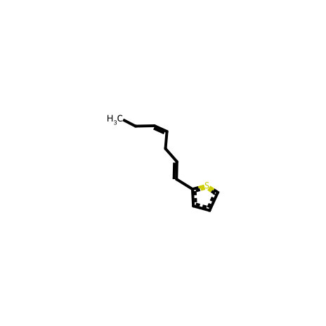 CC/C=C\C/C=C/c1cccs1